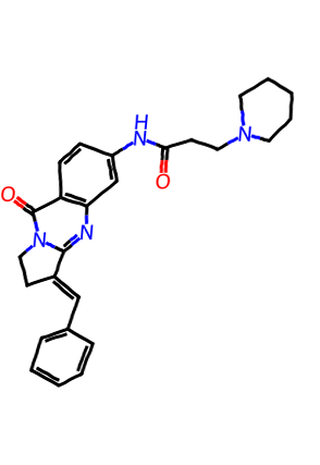 O=C(CCN1CCCCC1)Nc1ccc2c(=O)n3c(nc2c1)C(=Cc1ccccc1)CC3